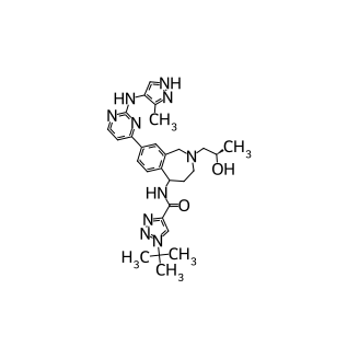 Cc1n[nH]cc1Nc1nccc(-c2ccc3c(c2)CN(C[C@@H](C)O)CCC3NC(=O)c2cn(C(C)(C)C)nn2)n1